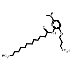 CN(C)c1ccc(OCCCC(=O)O)c(NC(=O)CCCCCCCCCCCC(=O)O)n1